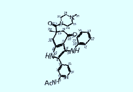 CC(=O)Nc1cc(-c2[nH]c3c(c2Nc2ccccc2)C(=O)CC(C)(C(=O)N2CCN(C)CC2)C3)ccn1